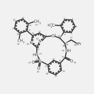 Cc1ccccc1[C@@H]1Oc2cc(-c3c(C)cccc3C)nc(n2)NS(=O)(=O)c2cccc(c2)C(=O)N[C@@H]1CC(C)C